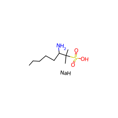 CCCCCC(N)C(C)(C)S(=O)(=O)O.[NaH]